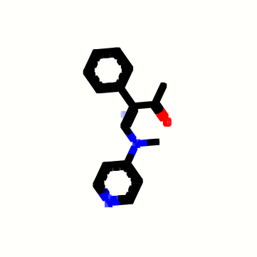 CC(=O)/C(=C\N(C)c1ccncc1)c1ccccc1